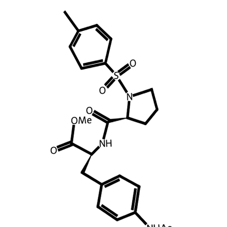 COC(=O)[C@H](Cc1ccc(NC(C)=O)cc1)NC(=O)[C@@H]1CCCN1S(=O)(=O)c1ccc(C)cc1